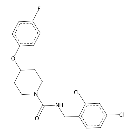 O=C(NCc1ccc(Cl)cc1Cl)N1CCC(Oc2ccc(F)cc2)CC1